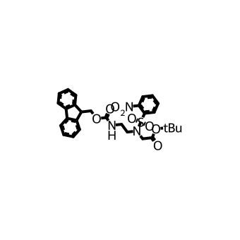 CC(C)(C)OC(=O)CN(CCNC(=O)OCC1c2ccccc2-c2ccccc21)S(=O)(=O)c1ccccc1[N+](=O)[O-]